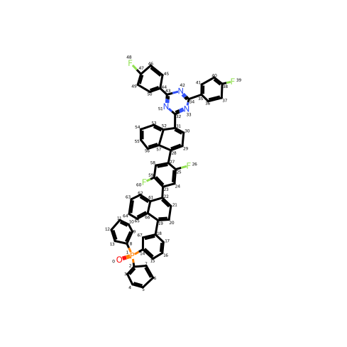 O=P(c1ccccc1)(c1ccccc1)c1cccc(-c2ccc(-c3cc(F)c(-c4ccc(-c5nc(-c6ccc(F)cc6)nc(-c6ccc(F)cc6)n5)c5ccccc45)cc3F)c3ccccc23)c1